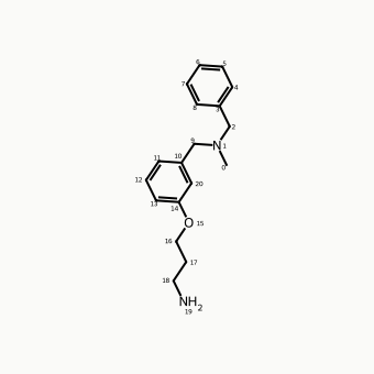 CN(Cc1ccccc1)Cc1cccc(OCCCN)c1